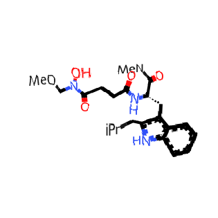 CNC(=O)[C@H](Cc1c(CC(C)C)[nH]c2ccccc12)NC(=O)CCC(=O)N(O)COC